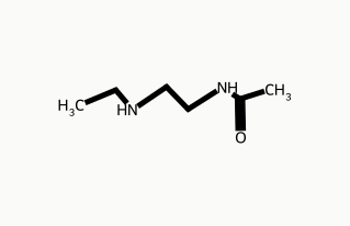 CCNCCNC(C)=O